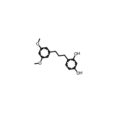 COc1cc(CCCc2ccc(O)cc2O)cc(OC)c1